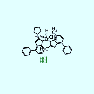 CC1=Cc2c(-c3ccccc3)ccc(C)c2[CH]1[Zr]([CH3])([CH3])(=[SiH2])[CH]1C(C2CCCC2)=Cc2c(-c3ccccc3)cccc21.Cl.Cl